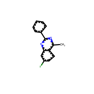 Cc1nc(-c2ccccc2)nc2cc(F)ccc12